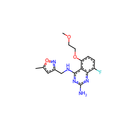 COCCOc1ccc(F)c2nc(N)nc(NCc3cc(C)on3)c12